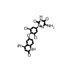 CC(C)c1cc(=O)[nH]c2ccc(Oc3c(Cl)cc(-n4nc(N)c(=O)[nH]c4=O)cc3Cl)cc12